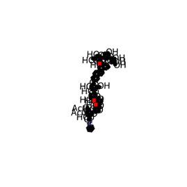 CC(=O)OCC1OC(OC2COC(OC3COC(OC4C(OC5C(CO)OC(OC6CCC7(C)C(CCC8(C)C7CC=C7C9CC(C)(C)CCC9(C(=O)OC9OC(CO)C(O)C(O)C9OC9OCC(O)C(OC%10OCC(O)(CO)C%10O)C9O)C(O)CC78C)C6(C)C)C(O)C5O)OCC(O)C4O)C(O)C3O)C(O)C2O)C(OC(=O)/C=C/c2ccccc2)C(O)C1OC(C)=O